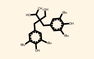 CC(O)C(CO)(Cc1cc(C(C)(C)C)c(O)c(C(C)(C)C)c1)Cc1cc(C(C)(C)C)c(O)c(C(C)(C)C)c1